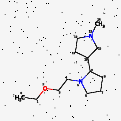 CCOCCN1CC[CH]C1C1CCN(C)C1